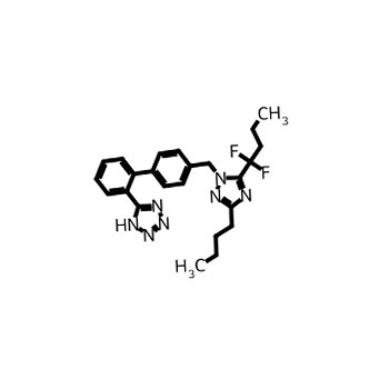 CCCCc1nc(C(F)(F)CCC)n(Cc2ccc(-c3ccccc3-c3nnn[nH]3)cc2)n1